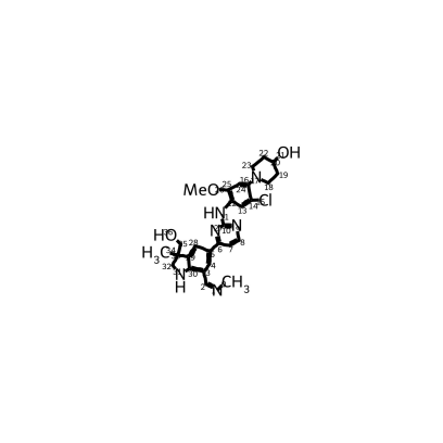 C/N=C\c1cc(-c2ccnc(Nc3cc(Cl)c(N4CCC(O)CC4)cc3OC)n2)cc2c1NCC2(C)CO